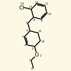 CCOC1C=CC(CC2C=CC=CC2Cl)CC1